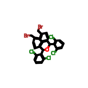 Clc1cccc(Cl)c1C(OC(c1ccc(CBr)cc1)c1c(Cl)cccc1Cl)c1ccc(CBr)cc1